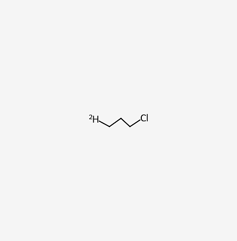 [2H]CCCCl